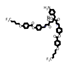 Nc1ccc(CC(O)(CC(O)C(=O)/C=C/c2ccc(OC(=O)c3ccc(OCCCCC(F)(F)F)cc3)cc2)C(=O)/C=C/c2ccc(OC(=O)c3ccc(OCCCCC(F)(F)F)cc3)cc2)cc1